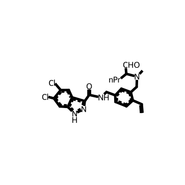 C=Cc1ccc(CNC(=O)c2n[nH]c3cc(Cl)c(Cl)cc23)cc1CN(C)C(C=O)CCC